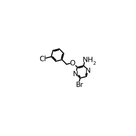 Nc1ncc(Br)nc1OCc1cccc(Cl)c1